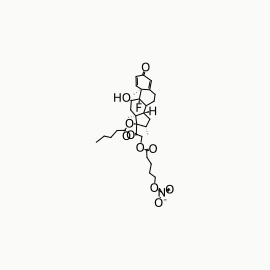 CCCCC(=O)O[C@]1(C(=O)COC(=O)CCCCO[N+](=O)[O-])[C@@H](C)C[C@H]2C3CCC4=CC(=O)C=C[C@]4(C)[C@@]3(F)[C@@H](O)C[C@@]21C